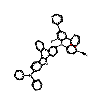 N#Cc1ccc(N(c2ccc3c(c2)c2ccccc2c2c4ccc(N(c5ccccc5)c5ccccc5)cc4oc32)c2c(F)cc(-c3ccccc3)cc2-c2ccccc2)cc1